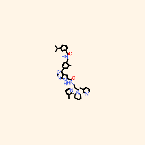 Cc1cc(-c2ncnc3[nH]c(C(=O)NCCCN4[C@@H](c5ncccc5C)CCC[C@H]4c4ncccc4C)cc23)ccc1CNC(=O)c1cccc(C(C)C)c1